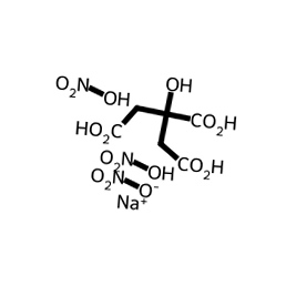 O=C(O)CC(O)(CC(=O)O)C(=O)O.O=[N+]([O-])O.O=[N+]([O-])O.O=[N+]([O-])[O-].[Na+]